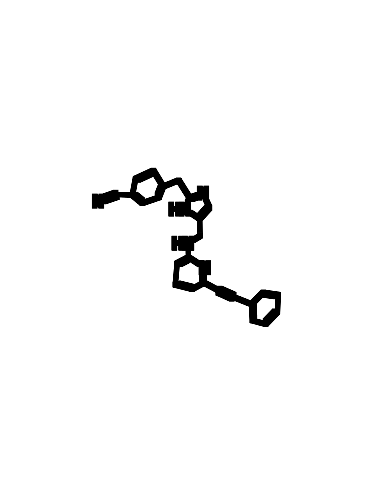 N#Cc1ccc(Cc2ncc(CNc3cccc(C#Cc4ccccc4)n3)[nH]2)cc1